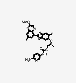 COc1cnc2c(-c3nc4cc(F)c(O[C@@H](C)COC(=O)Nc5ccc(N)nc5)cc4s3)cc(C)cc2n1